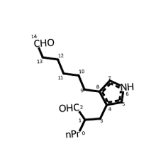 CCCC(C=O)Cc1c[nH]cc1CCCCCC=O